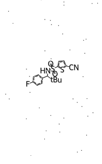 CC(C)(C)C(NS(=O)(=O)c1ccc(C#N)s1)c1ccc(F)cc1